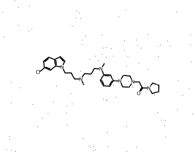 CN(CCCN(C)c1cccc(N2CCN(CC(=O)N3CCCC3)CC2)c1)CCCn1ccc2ccc(Cl)cc21